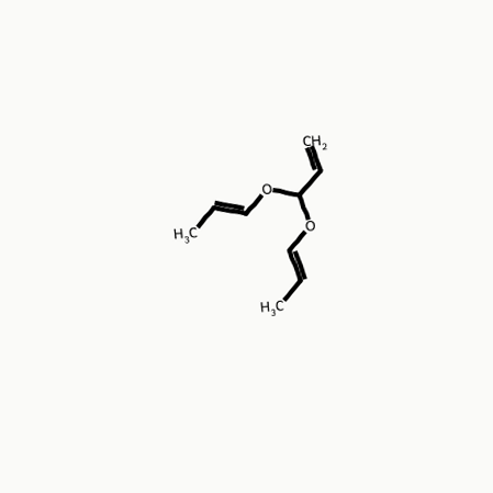 C=CC(OC=CC)OC=CC